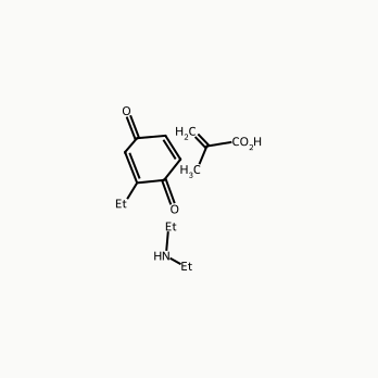 C=C(C)C(=O)O.CCC1=CC(=O)C=CC1=O.CCNCC